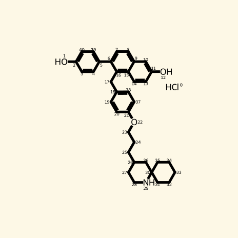 Cl.Oc1ccc(-c2ccc3cc(O)ccc3c2Cc2ccc(OCCCC3CCNC4(CCCCC4)C3)cc2)cc1